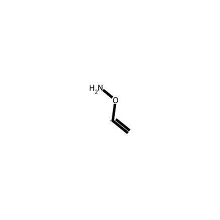 C=[C]ON